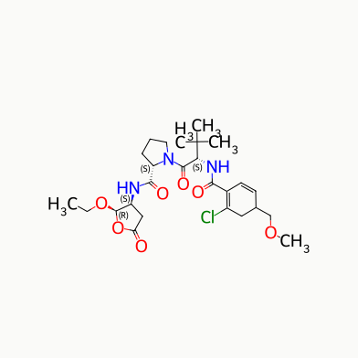 CCO[C@@H]1OC(=O)C[C@@H]1NC(=O)[C@@H]1CCCN1C(=O)[C@@H](NC(=O)C1=C(Cl)CC(COC)C=C1)C(C)(C)C